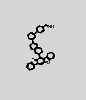 N=CC1C=CC(C2=CCCC(C3=CC4=C(C=C(C5=c6c7c(oc6=CC6C8=C(C=CCC8)OC56)C=CCC7)CC4)CC3)=C2)=CC1